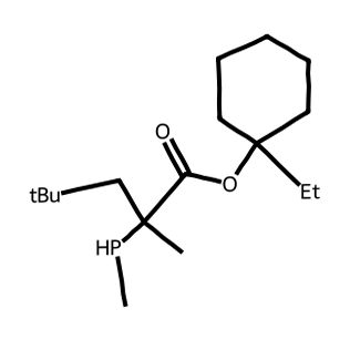 CCC1(OC(=O)C(C)(CC(C)(C)C)PC)CCCCC1